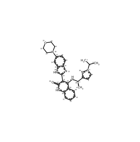 CC(C)n1ccc([C@@H](C)Nc2c(-c3nc4ccc(N5CCOCC5)cc4[nH]3)c(=O)[nH]c3ccccc23)n1